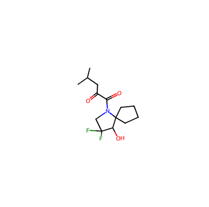 CC(C)CC(=O)C(=O)N1CC(F)(F)C(O)C12CCCC2